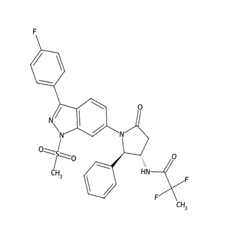 CC(F)(F)C(=O)N[C@H]1CC(=O)N(c2ccc3c(-c4ccc(F)cc4)nn(S(C)(=O)=O)c3c2)[C@@H]1c1ccccc1